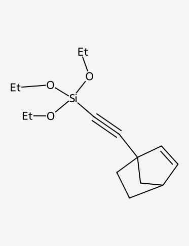 CCO[Si](C#CC12C=CC(CC1)C2)(OCC)OCC